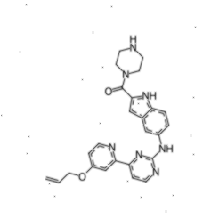 C=CCOc1ccnc(-c2ccnc(Nc3ccc4[nH]c(C(=O)N5CCNCC5)cc4c3)n2)c1